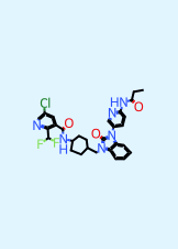 CCC(=O)Nc1ccc(-n2c(=O)n(CC3CCC(NC(=O)c4cc(Cl)cnc4C(F)F)CC3)c3ccccc32)cn1